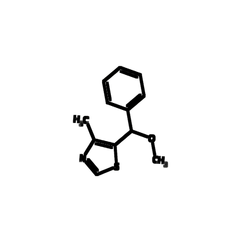 COC(c1ccccc1)c1scnc1C